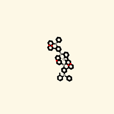 CC1C=CC=CC1N(c1ccccc1)c1ccc(N(c2ccccc2)c2cccc3c2oc2c(N(c4ccccc4)c4ccc(N(c5ccccc5)c5ccccc5)c(-c5ccccc5)c4)cccc23)c(-c2ccccc2)c1